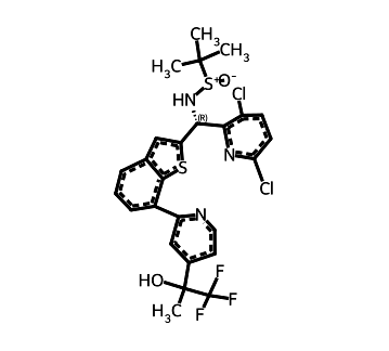 CC(C)(C)[S+]([O-])N[C@@H](c1cc2cccc(-c3cc(C(C)(O)C(F)(F)F)ccn3)c2s1)c1nc(Cl)ccc1Cl